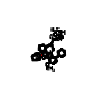 CNS(=O)(=O)NC(=O)C1=C2Cn3c(cc4c(OC)ccc(C5CCCCC5)c43)C3C(=C21)C=CC[C@H]3C(=O)N1C2CCC1CN(C)C2